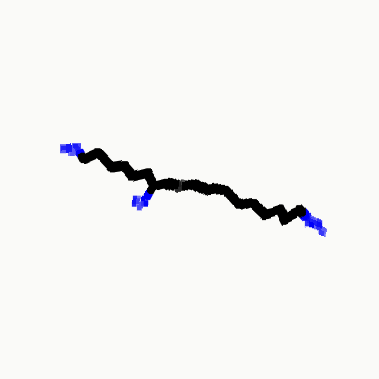 NCCCCCCCCCCCC(N)CCCCCCN